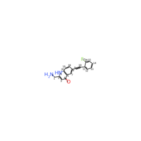 NCc1cc(=O)c2cc(C#Cc3ccccc3F)ccc2[nH]1